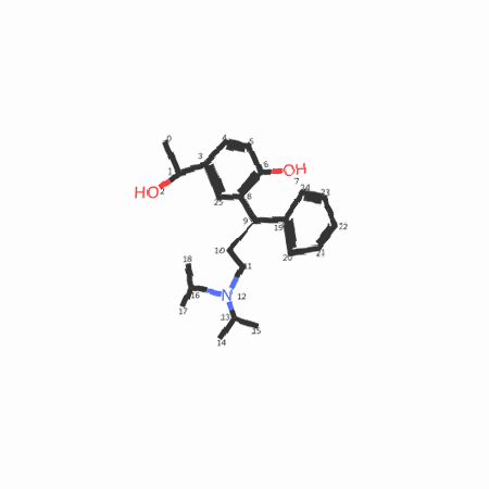 CC(O)c1ccc(O)c([C@H](CCN(C(C)C)C(C)C)c2ccccc2)c1